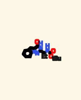 CCC(NC(=O)OC(C)(C)C)c1nn2c(cc3ccccc32)c(=O)[nH]1